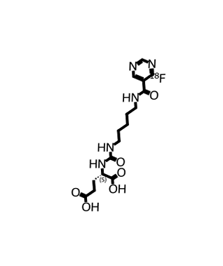 O=C(O)CC[C@H](NC(=O)NCCCCCNC(=O)c1cncnc1[18F])C(=O)O